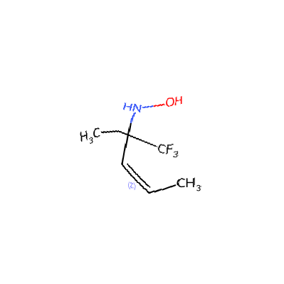 C/C=C\C(C)(NO)C(F)(F)F